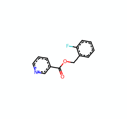 O=C(OCc1ccccc1F)c1cccnc1